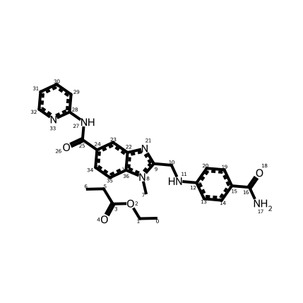 CCOC(=O)CC.Cn1c(CNc2ccc(C(N)=O)cc2)nc2cc(C(=O)Nc3ccccn3)ccc21